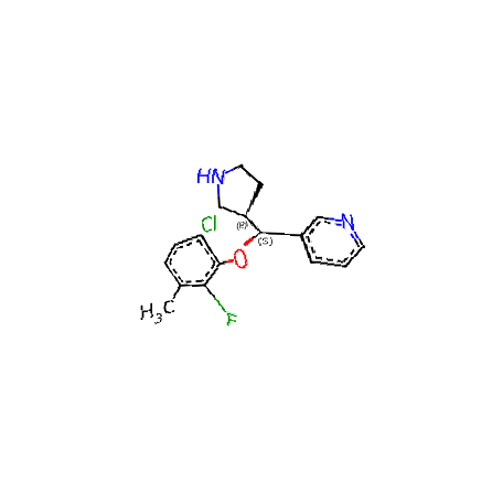 Cc1ccc(Cl)c(O[C@H](c2cccnc2)[C@@H]2CCNC2)c1F